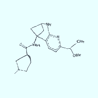 COC(OC)c1ccc2c(n1)NC1CC2(NC(=O)C2CCN(C)C2)C1